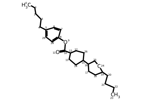 CCCCCc1ccc(OC(=O)C2CCC(C3CCC(CCCC)CC3)CC2)cc1